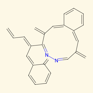 C=C/C=C(\C=c1\ccccc1=C)c1nncc(=C)cc2ccccc2cc1=C